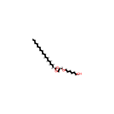 CCCCCCCCCCCCCCCCC[C@H]1OC[C@H](COCCCCCCO)O1